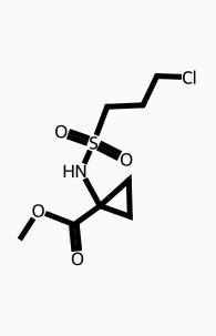 COC(=O)C1(NS(=O)(=O)CCCCl)CC1